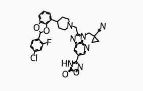 N#CC1(Cn2c(CN3CCC(c4cccc5c4OC(c4ccc(Cl)cc4F)O5)CC3)nc3cc(-c4noc(=O)[nH]4)cnc32)CC1